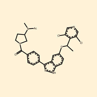 CC(=O)N(C)C1CCN(C(=O)c2ccc(-c3n[nH]c4ccc(OC(C)c5c(Cl)cncc5Cl)cc34)cc2)C1